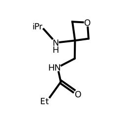 CCC(=O)NCC1(NC(C)C)COC1